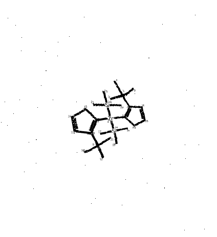 CC(C)(C)C1=[C]([Zr]([C]2=C(C(C)(C)C)C=CC2)([Si](C)(C)C)[Si](C)(C)C)CC=C1